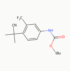 CC(C)(C)OC(=O)Nc1ccc(C(C)(C)C#N)c(C(F)(F)F)c1